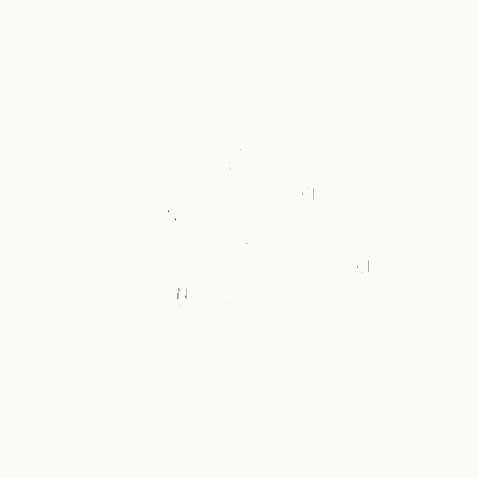 Clc1nc(Cl)c2c(Cl)c(Cl)ccc2n1